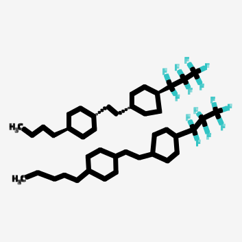 CCCCCC1CCC(CCC2CCC(C(F)(F)C(F)(F)C(F)(F)F)CC2)CC1.CCCC[C@H]1CC[C@H](CC[C@H]2CC[C@H](C(F)(F)C(F)(F)C(F)(F)F)CC2)CC1